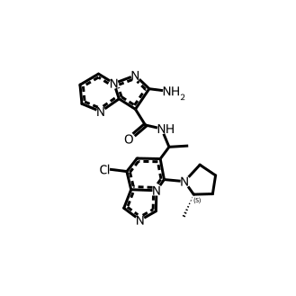 CC(NC(=O)c1c(N)nn2cccnc12)c1cc(Cl)c2cncn2c1N1CCC[C@@H]1C